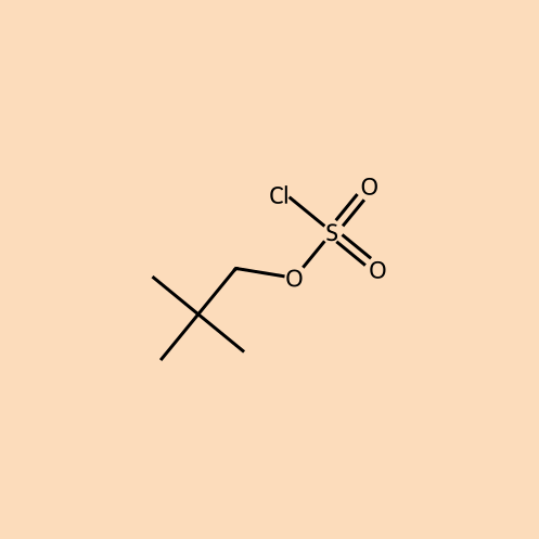 CC(C)(C)COS(=O)(=O)Cl